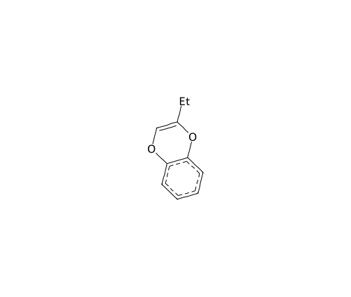 CCC1=COc2ccccc2O1